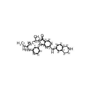 CNC(=O)Nc1cc(-n2c3nc(Nc4ccc5c(c4)CCNC5)ncc3c(=O)n2C(C)C)ccn1